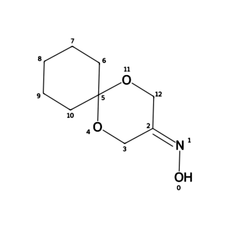 ON=C1COC2(CCCCC2)OC1